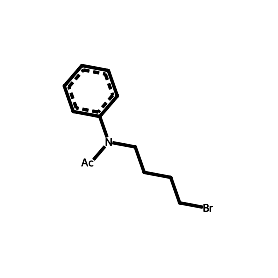 CC(=O)N(CCCCBr)c1ccccc1